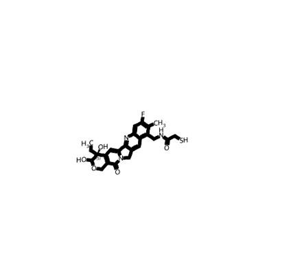 CC[C@]1(O)c2cc3n(c(=O)c2COC1O)Cc1cc2c(CNC(=O)CS)c(C)c(F)cc2nc1-3